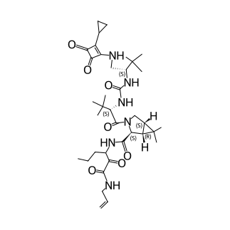 C=CCNC(=O)C(=O)C(CCC)NC(=O)[C@@H]1[C@@H]2[C@H](CN1C(=O)[C@@H](NC(=O)N[C@H](CNc1c(C3CC3)c(=O)c1=O)C(C)(C)C)C(C)(C)C)C2(C)C